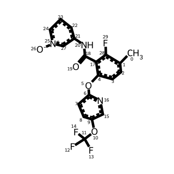 Cc1ccc(Oc2ccc(OC(F)(F)F)cn2)c(C(=O)Nc2ccc[n+]([O-])c2)c1F